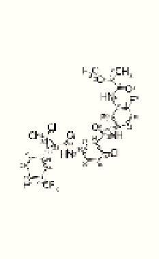 CC(OC(F)(F)F)C(=O)Nc1c(F)ccc(NC(=O)c2cc(NC(=O)[C@H]3[C@H](c4ccc(F)c(C(F)(F)F)c4)C3(Cl)Cl)ccc2Cl)c1F